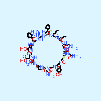 CCCC[C@H]1C(=O)N(C)[C@@H](CCCC)C(=O)N[C@@H](CCCN)C(=O)N[C@H](C(=O)NCC(N)=O)CSCC(=O)N[C@@H](Cc2ccc(O)cc2)C(=O)N(C)[C@@H](C)C(=O)N[C@@H](CC(N)=O)C(=O)N2CCC[C@H]2C(=O)N[C@@H](CN)C(=O)N[C@@H](CCC(=O)O)C(=O)N2C[C@H](O)C[C@H]2C(=O)N[C@@H](Cc2c[nH]c3ccccc23)C(=O)N[C@@H](CCN)C(=O)N[C@@H](Cc2csc3ccccc23)C(=O)N1C